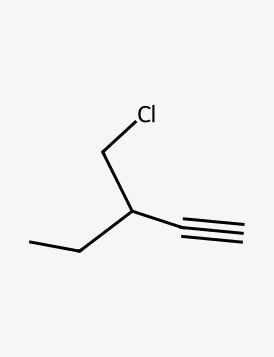 C#CC(CC)CCl